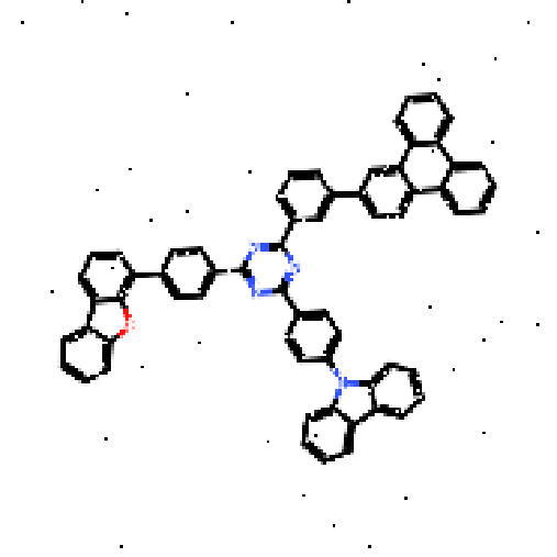 c1cc(-c2ccc3c4ccccc4c4ccccc4c3c2)cc(-c2nc(-c3ccc(-c4cccc5c4oc4ccccc45)cc3)nc(-c3ccc(-n4c5ccccc5c5ccccc54)cc3)n2)c1